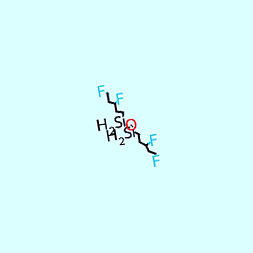 FCCC(F)CC[SiH2]O[SiH2]CCC(F)CCF